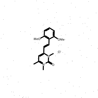 COc1cccc(OC)c1/C=C/c1cc(C)[n+](C)c(=O)n1C.[Cl-]